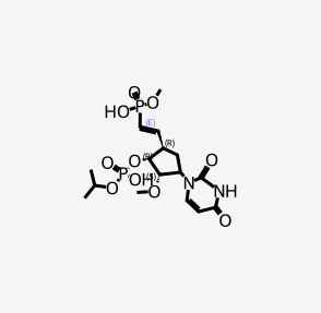 CO[C@H]1C(n2ccc(=O)[nH]c2=O)C[C@H](/C=C/P(=O)(O)OC)[C@H]1OP(=O)(O)OC(C)C